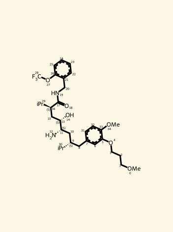 COCCCOc1cc(C[C@@H](C[C@H](N)[C@@H](O)C[C@H](C(=O)NCc2ccccc2OC(F)(F)F)C(C)C)C(C)C)ccc1OC